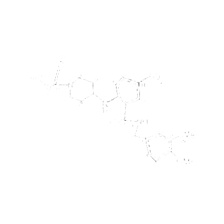 COc1ccc(CNC(=O)c2cc([N+](=O)[O-])ccc2NC2CCN(C(=O)OC(C)(C)C)CC2)cc1OC